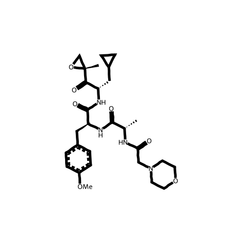 COc1ccc(C[C@H](NC(=O)[C@H](C)NC(=O)CN2CCOCC2)C(=O)N[C@@H](CC2CC2)C(=O)[C@@]2(C)CO2)cc1